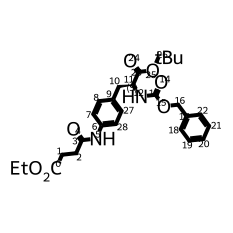 CCOC(=O)CCC(=O)Nc1ccc(C[C@H](NC(=O)OCc2ccccc2)C(=O)OC(C)(C)C)cc1